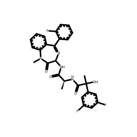 C[C@H](NC(=O)C(C)(O)c1cc(F)cc(F)c1)C(=O)NC1N=C(c2ccccc2F)c2ccccc2N(C)C1=O